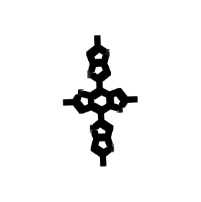 Cc1cc2sc(-c3c4cc(C)sc4c(-c4cc5sc(C)cc5s4)c4cc(C)sc34)cc2s1